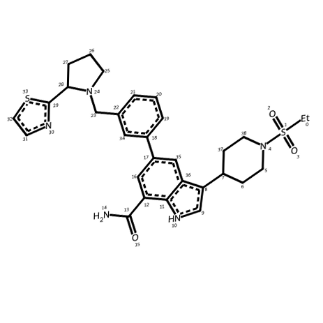 CCS(=O)(=O)N1CCC(c2c[nH]c3c(C(N)=O)cc(-c4cccc(CN5CCCC5c5nccs5)c4)cc23)CC1